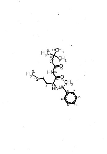 CSCC[C@H](N[C@H](C)c1ccccc1)C(=O)NC(=O)OC(C)(C)C